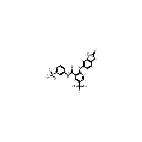 CS(=O)(=O)c1cccc(NC(=O)c2cc(C(F)(F)F)cnc2Oc2ccc3c(c2)NC(=O)C3)c1